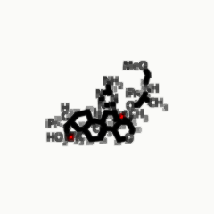 COCCN[C@@](C)(CO[C@H]1[C@H](n2nnc(N)n2)C[C@@]23COC[C@]1(C)[C@@H]2CC[C@H]1C3=CC[C@@]2(C)[C@H](C(=O)O)[C@@](C)([C@H](C)C(C)C)CC[C@]12C)C(C)C